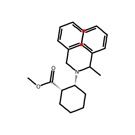 COC(=O)[C@H]1CCCC[C@H]1N(Cc1ccccc1)C(C)c1ccccc1